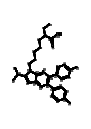 CCC(CCCCCn1c(C(C)C)cc2nc(-c3ccc(C)cc3)c(-c3ccc(C)cc3)nc21)C(=O)O